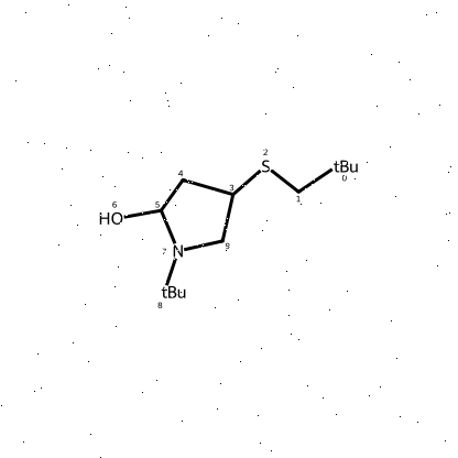 CC(C)(C)CSC1CC(O)N(C(C)(C)C)C1